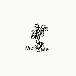 COc1cc2nccc(Oc3ccc(NC(=O)c4cc5c(n(-c6ccccc6)c4=O)CCCC5=O)nc3)c2cc1OC.O=S(=O)(O)CCO